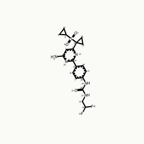 Nc1cc(C2(S(=O)(=O)C3CC3)CC2)nc(-c2ccc(NC(=O)NCC(F)F)cc2)n1